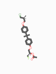 CC(=O)O[C@@H](CF)COc1ccc(C(C)(C)c2ccc(OC[C@H](C)CCl)cc2)cc1